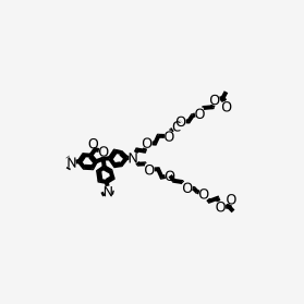 CC(=O)OCCOCCOCCOCCOCCN(CCOCCOCCOCCOCCOC(C)=O)c1ccc(C2(c3ccc(N(C)C)cc3)OC(=O)c3cc(N(C)C)ccc32)cc1